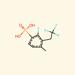 Cc1ccc(P(=O)(O)O)c(F)c1CC(F)(F)F